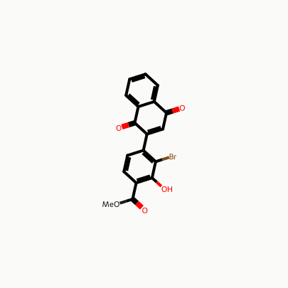 COC(=O)c1ccc(C2=CC(=O)c3ccccc3C2=O)c(Br)c1O